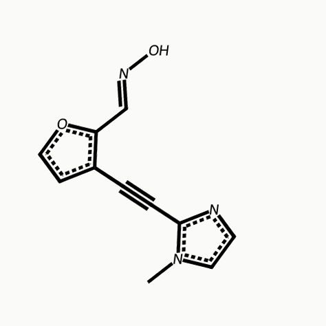 Cn1ccnc1C#Cc1ccoc1/C=N/O